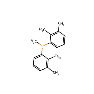 Cc1cccc(P(C)c2cccc(C)c2C)c1C